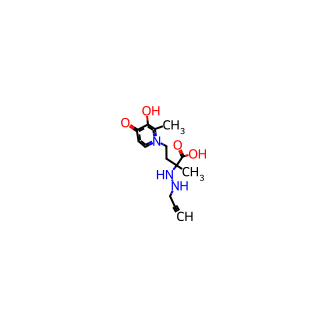 C#CCNNC(C)(CCn1ccc(=O)c(O)c1C)C(=O)O